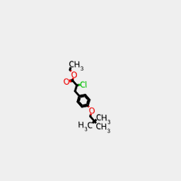 CCOC(=O)C(Cl)Cc1ccc(OCC(C)(C)C)cc1